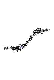 C=CCCC(C(=O)NC)N1C(=O)c2cccc(OCCOCCOCCOCCOc3ccc(/C(=C/C=O)Oc4cc(OCC)c(-c5cc(C#N)cc(NC)c5)cc4C)c(Cl)c3)c2C1=O